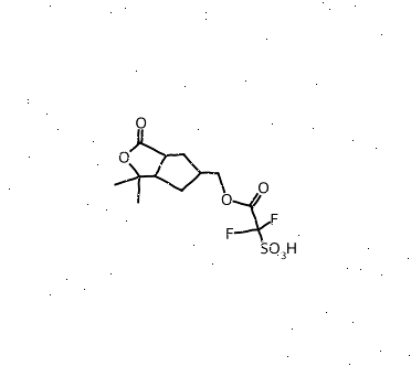 CC1(C)OC(=O)C2CC(COC(=O)C(F)(F)S(=O)(=O)O)CC21